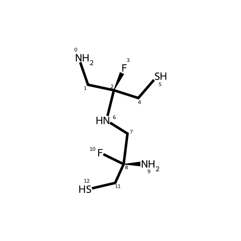 NC[C@](F)(CS)NC[C@@](N)(F)CS